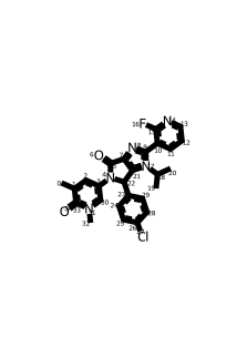 Cc1cc(N2C(=O)c3nc(-c4cccnc4F)n(C(C)C)c3C2c2ccc(Cl)cc2)cn(C)c1=O